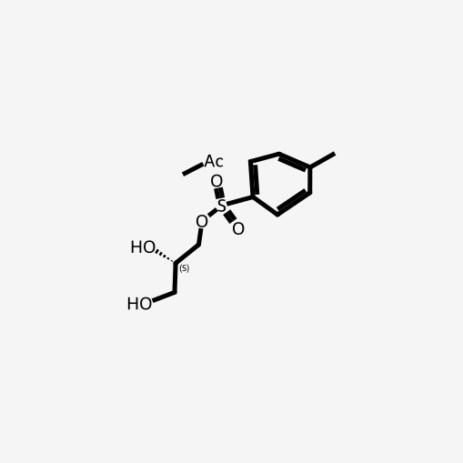 CC(C)=O.Cc1ccc(S(=O)(=O)OC[C@@H](O)CO)cc1